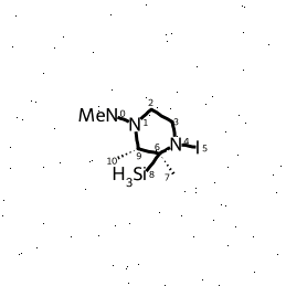 CNN1CCN(I)[C@@](C)([SiH3])[C@@H]1C